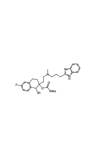 CNC(=O)OC1(CCN(C)CCCc2nc3ccccc3[nH]2)CCc2cc(F)ccc2C1C(C)C